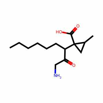 CCCCCCC(C(=O)CN)C1(C(=O)O)CC1C